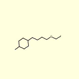 CC1CCC(CCCCOCI)CC1